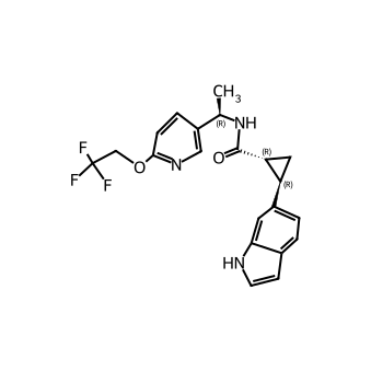 C[C@@H](NC(=O)[C@@H]1C[C@H]1c1ccc2cc[nH]c2c1)c1ccc(OCC(F)(F)F)nc1